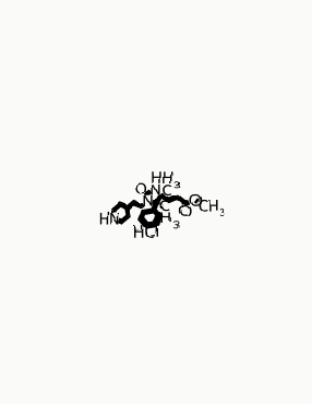 COC(=O)CC[C@]1(C)NC(=O)N(CCC2CCNCC2)[C@@]1(C)c1ccccc1.Cl